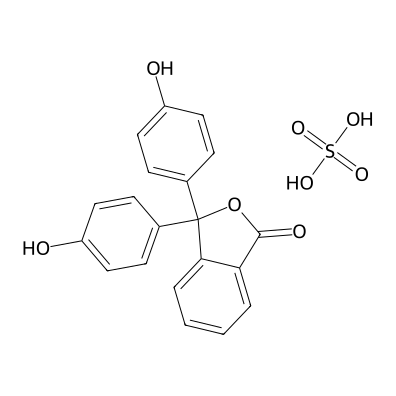 O=C1OC(c2ccc(O)cc2)(c2ccc(O)cc2)c2ccccc21.O=S(=O)(O)O